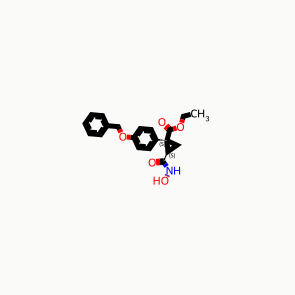 CCOC(=O)[C@@]1(c2ccc(OCc3ccccc3)cc2)C[C@@H]1C(=O)NO